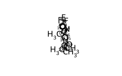 CC(c1ccc(C(F)(F)F)cc1)C1(C#N)CCN(C(=O)OC(C)(C)C)CC1